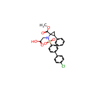 COC(=O)C1(N(CC(=O)O)S(=O)(=O)c2ccc(-c3ccc(Cl)cc3)cc2)CC1c1ccccc1